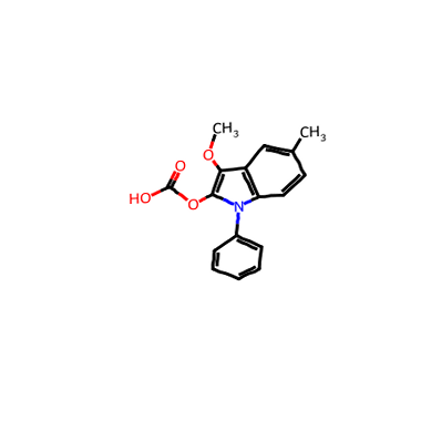 COc1c(OC(=O)O)n(-c2ccccc2)c2ccc(C)cc12